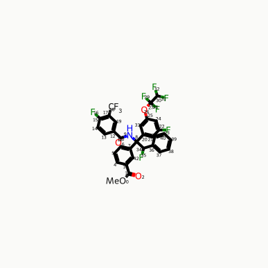 COC(=O)c1cccc(C(NC(=O)c2ccc(F)c(C(F)(F)F)c2)(c2cc(F)cc(OC(F)(F)C(F)F)c2)C(F)c2ccccc2)c1